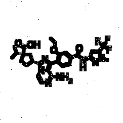 CCOc1cc(C(=O)Nc2cc(C(F)(F)F)n(C)n2)ccc1-c1nc([C@@H]2CC[C@](C(=O)O)(C(C)C)C2)n2ccnc(N)c12